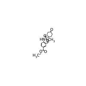 CCOC(=O)c1ccc(NS(=O)(=O)C2(C)CCC(=O)CC2)c(F)c1